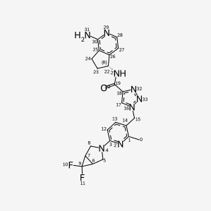 Cc1nc(N2CC3C(C2)C3(F)F)ccc1Cn1cc(C(=O)N[C@@H]2CCc3c2ccnc3N)nn1